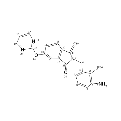 Nc1cccc(CN2C(=O)c3ccc(Oc4ncccn4)cc3C2=O)c1F